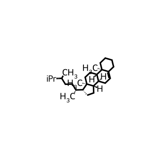 CC(C)C(C)CC[C@@H](C)[C@H]1CC[C@H]2[C@@H]3CC=C4CCCC[C@]4(C)[C@H]3CC[C@]12C